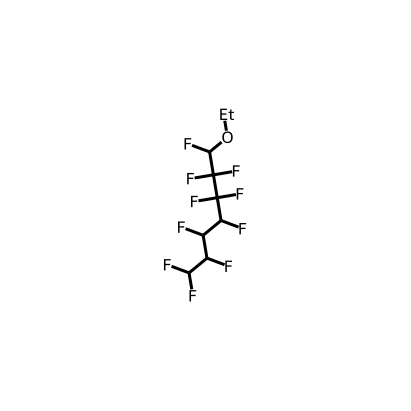 CCOC(F)C(F)(F)C(F)(F)C(F)C(F)C(F)C(F)F